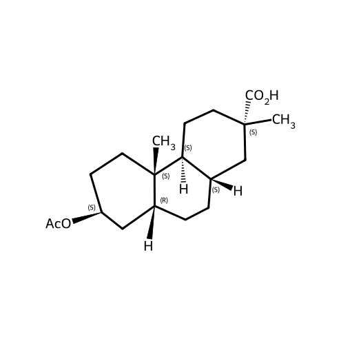 CC(=O)O[C@H]1CC[C@@]2(C)[C@H](CC[C@H]3C[C@@](C)(C(=O)O)CC[C@@H]32)C1